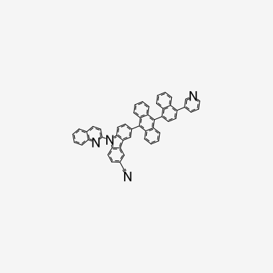 N#Cc1ccc2c(c1)c1cc(-c3c4ccccc4c(-c4ccc(-c5cccnc5)c5ccccc45)c4ccccc34)ccc1n2-c1ccc2ccccc2n1